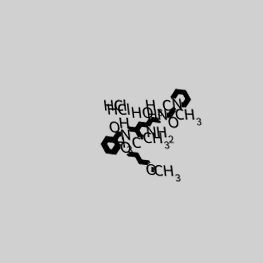 COCCCCOc1ccccc1C(=O)NCC(CC(N)C(O)CNC(=O)C(C)(C)N1CCCCC1)C(C)C.Cl.Cl